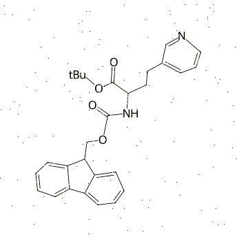 CC(C)(C)OC(=O)C(CCc1cccnc1)NC(=O)OCC1c2ccccc2-c2ccccc21